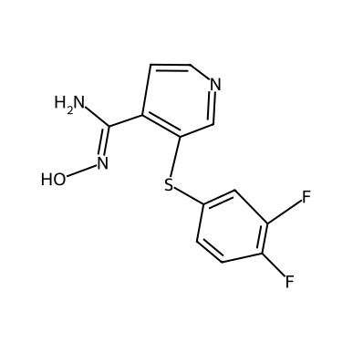 NC(=NO)c1ccncc1Sc1ccc(F)c(F)c1